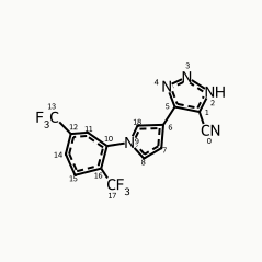 N#Cc1[nH]nnc1-c1ccn(-c2cc(C(F)(F)F)ccc2C(F)(F)F)c1